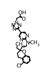 CCC1(CCN(C)c2ncc(-c3nnn(CC(=O)O)n3)cn2)CCc2c(Cl)cccc2O1